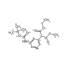 CCOC(=O)C(c1cncc(NC(=O)OC(C)(C)C)c1)C([O])CC